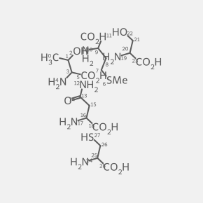 CC(O)C(N)C(=O)O.CSCCC(N)C(=O)O.NC(=O)CC(N)C(=O)O.NC(CO)C(=O)O.NC(CS)C(=O)O